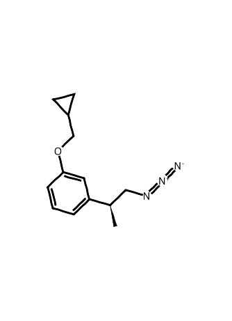 C[C@H](CN=[N+]=[N-])c1cccc(OCC2CC2)c1